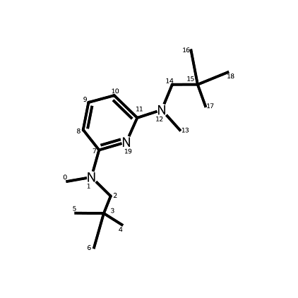 CN(CC(C)(C)C)c1cccc(N(C)CC(C)(C)C)n1